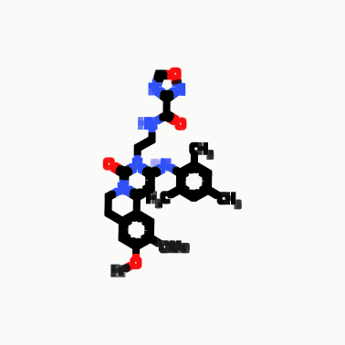 CCOc1cc2c(cc1OC)-c1c/c(=N\c3c(C)cc(C)cc3C)n(CCNC(=O)c3ncon3)c(=O)n1CC2